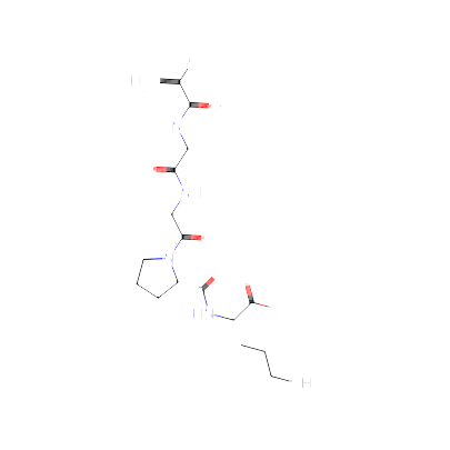 C=C(C)C(=O)NCC(=O)NCC(=O)N1CCC[C@H]1C(=O)N[C@@H](CCCC)C(=O)O